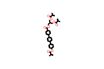 C=C(C)C(=O)OCC(COC(=O)C(=C)C)COC(=O)c1ccc(-c2ccc(-c3ccc(OC(=O)C(=C)C)cc3)cc2)cc1